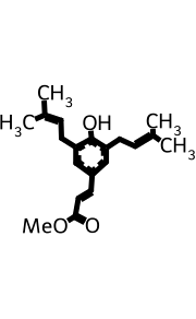 COC(=O)C=Cc1cc(CC=C(C)C)c(O)c(CC=C(C)C)c1